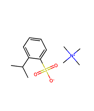 CC(C)c1ccccc1S(=O)(=O)[O-].C[N+](C)(C)C